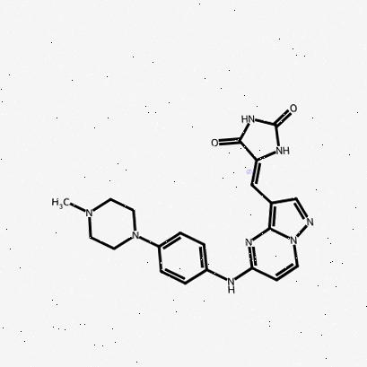 CN1CCN(c2ccc(Nc3ccn4ncc(/C=C5\NC(=O)NC5=O)c4n3)cc2)CC1